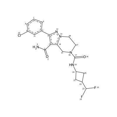 NC(=O)c1c(-c2cccc(Cl)c2)nn2c1CN(C(=O)NC1CC(C(F)F)C1)CC2